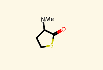 CNC1CCSC1=O